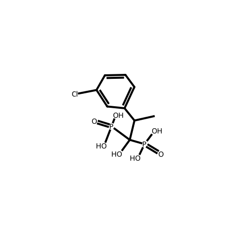 CC(c1cccc(Cl)c1)C(O)(P(=O)(O)O)P(=O)(O)O